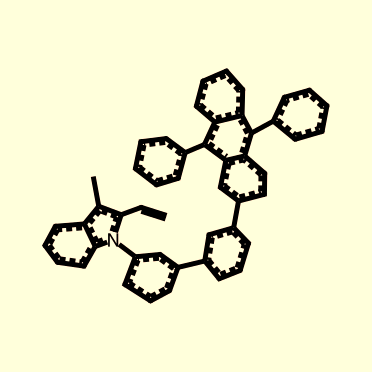 C=Cc1c(C)c2ccccc2n1-c1cccc(-c2cccc(-c3ccc4c(-c5ccccc5)c5ccccc5c(-c5ccccc5)c4c3)c2)c1